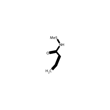 C=C=CC(=O)NSC